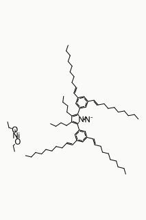 CCCCCCCCC=Cc1cc(C=CCCCCCCCC)cc(C2=C(CCCC)C(CCCC)=C(c3cc(C=CCCCCCCCC)cc(C=CCCCCCCCC)c3)[N+]2=[N-])c1.CC[O][Ni][O]CC